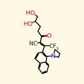 N#C/C(C(=O)CCC(O)CO)=C(\c1ccc2ccccc2c1N1CCC1)C(F)(F)F